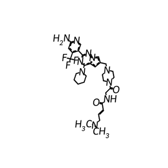 CN(C)C/C=C/C(=O)NCC(=O)N1CCN(Cc2cc3c(N4CCCCC4)nc(-c4cnc(N)cc4C(F)(F)F)nn3c2)CC1